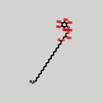 CCCCCCCCCCCCCCCCCCCCCCC(=O)OCC(O)COP(=O)(O)OC1C(O)C(O)C(O)C(O)C1O